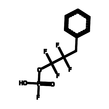 O=P(O)(F)OC(F)(F)C(F)(F)Cc1ccccc1